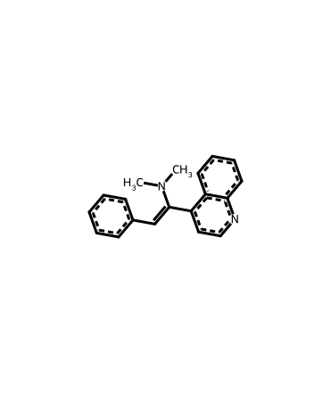 CN(C)C(=Cc1ccccc1)c1ccnc2ccccc12